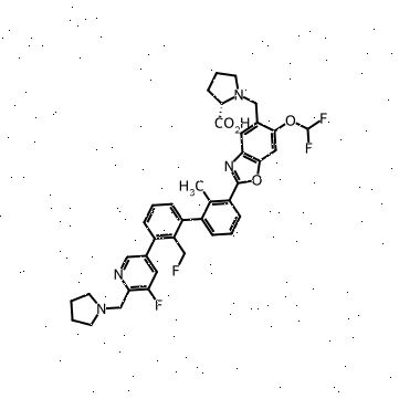 Cc1c(-c2nc3cc(CN4CCC[C@H]4C(=O)O)c(OC(F)F)cc3o2)cccc1-c1cccc(-c2cnc(CN3CCCC3)c(F)c2)c1CF